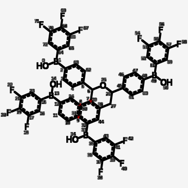 OB(c1ccc(C(Cc2cccc(B(O)c3cc(F)c(F)c(F)c3)c2)OC(Cc2cccc(B(O)c3cc(F)c(F)c(F)c3)c2)c2ccc(B(O)c3cc(F)c(F)c(F)c3)cc2)cc1)c1cc(F)c(F)c(F)c1